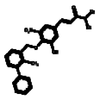 CCN(CC)C(=O)C=Cc1cc(O)c(OCc2cccc(-c3ccccc3)c2C)c([N+](=O)[O-])c1